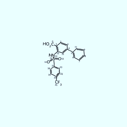 O=C(O)c1ccc(-c2ccccc2)cc1NS(=O)(=O)c1ccc(C(F)(F)F)cc1